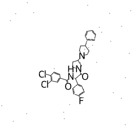 O=C(N[C@H](C(=O)N1CCC(N2CCC(c3ccccc3)CC2)C1)c1ccc(F)cc1)c1ccc(Cl)c(Cl)c1